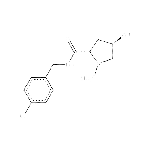 O=C(NCc1ccc(Cl)cc1)[C@@H]1C[C@@H](O)CN1C(=O)O